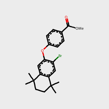 COC(=O)c1ccc(Oc2cc3c(cc2Br)C(C)(C)CCC3(C)C)cc1